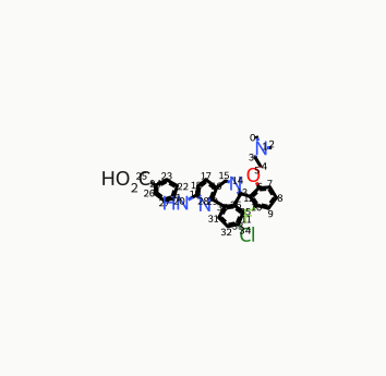 CN(C)CCOc1cccc(F)c1C1=NCc2ccc(Nc3ccc(C(=O)O)cc3)nc2-c2ccc(Cl)cc21